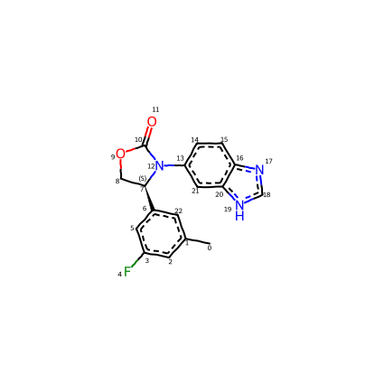 Cc1cc(F)cc([C@H]2COC(=O)N2c2ccc3nc[nH]c3c2)c1